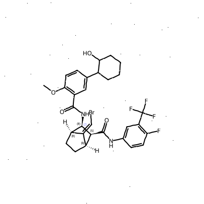 COc1ccc(C2CCCCC2O)cc1C(=O)N[C@H]1[C@@H](C(=O)Nc2ccc(F)c(C(F)(F)F)c2)[C@H]2CC[C@@H]1/C2=C\Br